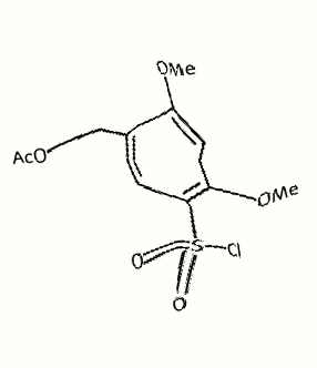 COc1cc(OC)c(S(=O)(=O)Cl)cc1COC(C)=O